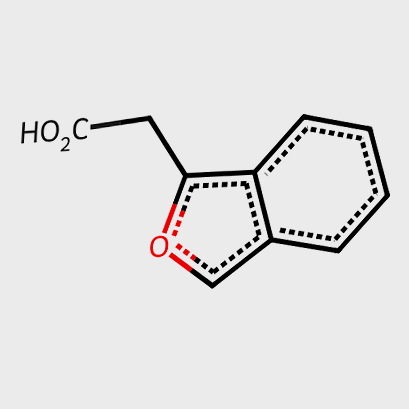 O=C(O)Cc1occ2ccccc12